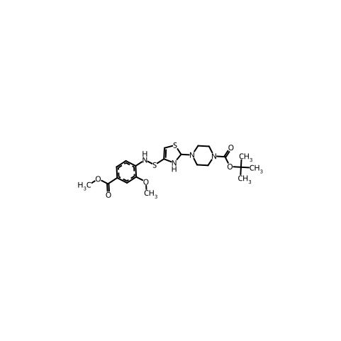 COC(=O)c1ccc(NSC2=CSC(N3CCN(C(=O)OC(C)(C)C)CC3)N2)c(OC)c1